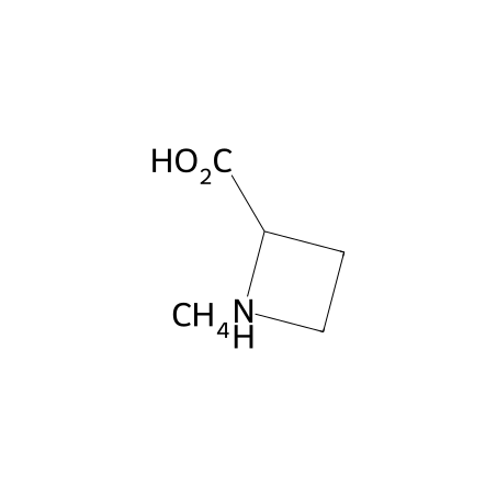 C.O=C(O)C1CCN1